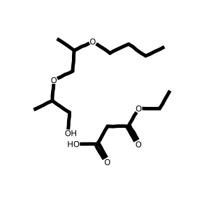 CCCCOC(C)COC(C)CO.CCOC(=O)CC(=O)O